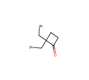 CC(C)CC1(CC(C)C)CCC1=O